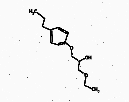 CCCc1ccc(OCC(O)COCC)cc1